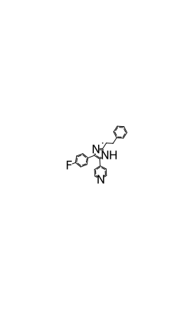 Fc1ccc(-c2nc([CH]Cc3ccccc3)[nH]c2-c2ccncc2)cc1